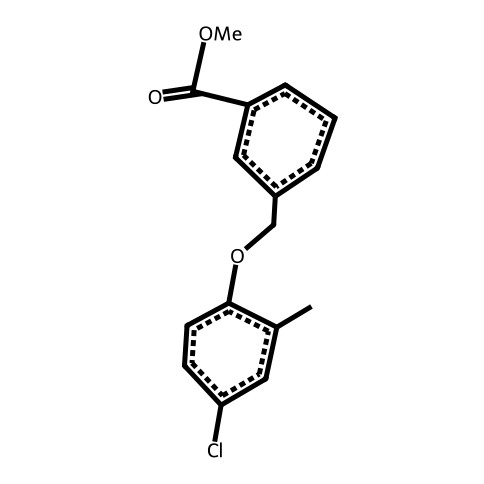 COC(=O)c1cccc(COc2ccc(Cl)cc2C)c1